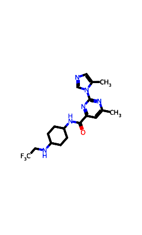 Cc1cc(C(=O)NC2CCC(NCC(F)(F)F)CC2)nc(-n2cncc2C)n1